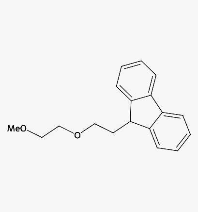 COCCOCCC1c2ccccc2-c2ccccc21